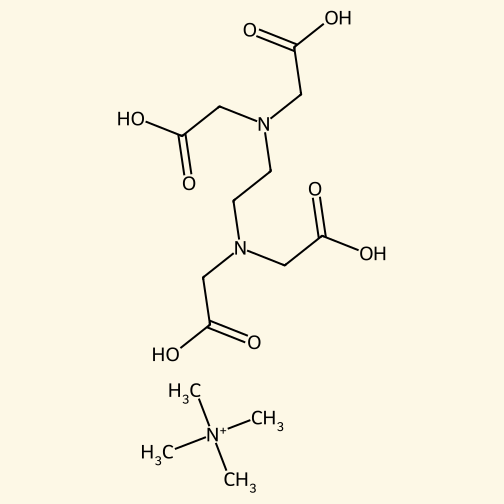 C[N+](C)(C)C.O=C(O)CN(CCN(CC(=O)O)CC(=O)O)CC(=O)O